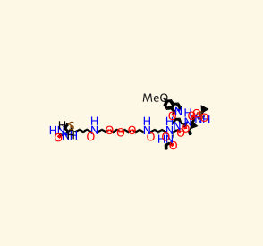 C=CC(=O)NC[C@H](NC(=O)CCCC(=O)NCCCOCCOCCOCCCNC(=O)CCCC[C@@H]1SC[C@@H]2NC(=O)N[C@@H]21)C(=O)N1C[C@H](Oc2nccc3cc(OC)ccc23)C[C@H]1C(=O)N[C@]1(C(=O)NS(=O)(=O)C2CC2)C[C@H]1C=C